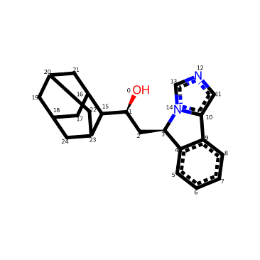 O[C@@H](C[C@@H]1c2ccccc2-c2cncn21)C1C2CC3CC(C2)CC1C3